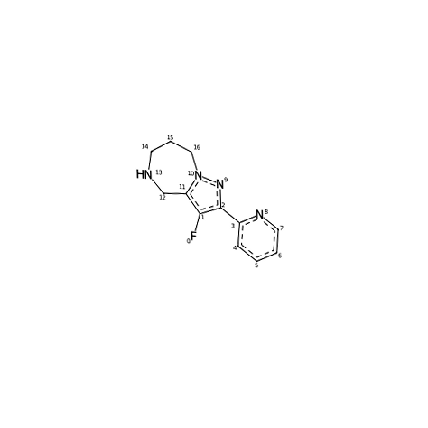 Fc1c(-c2ccccn2)nn2c1CNCCC2